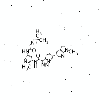 Cc1ncc(NC(=O)CN2CC(C)(C)C2)cc1NC(=O)c1nnn2cc(-c3cnc4c(ccn4C)c3)ccc12